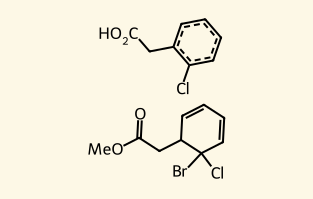 COC(=O)CC1C=CC=CC1(Cl)Br.O=C(O)Cc1ccccc1Cl